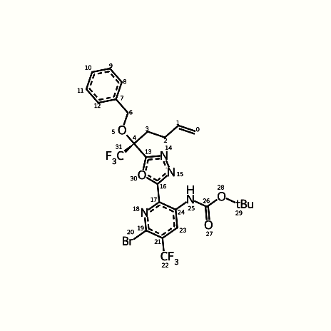 C=CCC[C@@](OCc1ccccc1)(c1nnc(-c2nc(Br)c(C(F)(F)F)cc2NC(=O)OC(C)(C)C)o1)C(F)(F)F